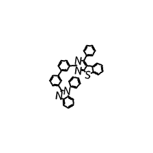 c1ccc(-c2nc(-c3cccc(-c4cccc(-c5nc6ccccc6n5-c5ccccc5)c4)c3)nc3sc4ccccc4c23)cc1